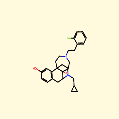 Oc1ccc2c(c1)C13CCN(CCc4ccccc4F)CCC1(O)C(C2)N(CC1CC1)CC3